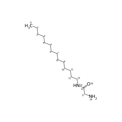 CCCCCCCCCCCCCCNC(=O)CN